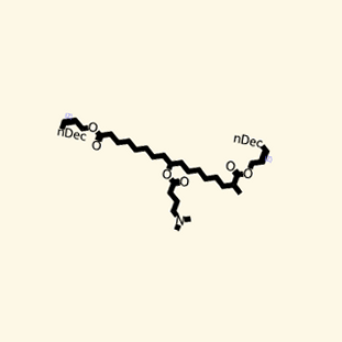 CCCCCCCCCC/C=C\COC(=O)CCCCCCCC(CCCCCCC(C)C(=O)OC/C=C\CCCCCCCCCC)OC(=O)CCCN(C)C